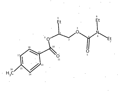 CCC(COC(=O)N(CC)CC)OC(=O)c1ccc(C)cc1